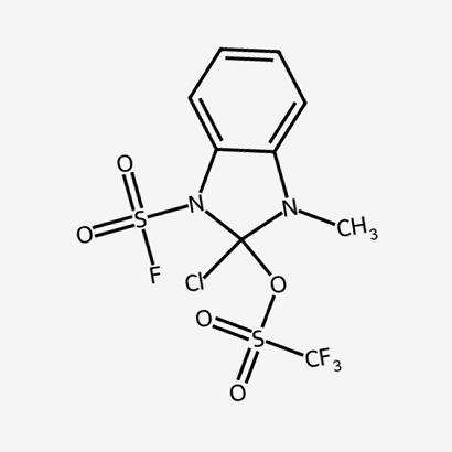 CN1c2ccccc2N(S(=O)(=O)F)C1(Cl)OS(=O)(=O)C(F)(F)F